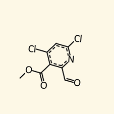 COC(=O)c1c(Cl)cc(Cl)nc1C=O